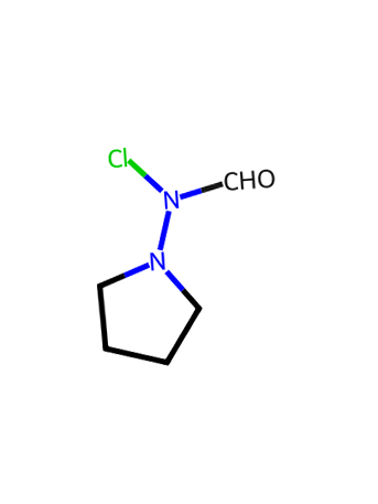 O=CN(Cl)N1CCCC1